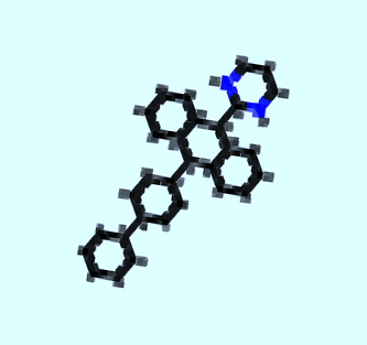 c1ccc(-c2ccc(-c3c4ccccc4c(-c4ncccn4)c4ccccc34)cc2)cc1